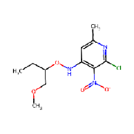 CCC(COC)ONc1cc(C)nc(Cl)c1[N+](=O)[O-]